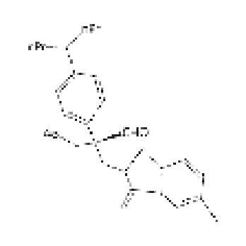 C=C1c2cc(C)ccc2CC1C[C@](C=O)(CC(C)=O)c1ccc(C(CCC)CCC)cc1